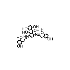 Oc1ccc(O)c(CCCNc2ccc(NCCCc3cc(O)ccc3O)c3c(O)c4c(O)ccc(O)c4c(O)c23)c1